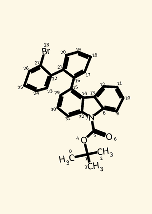 CC(C)(C)OC(=O)n1c2ccccc2c2c(-c3ccccc3-c3ccccc3Br)cccc21